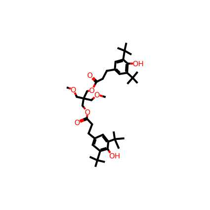 COCC(COC)(COC(=O)CCc1cc(C(C)(C)C)c(O)c(C(C)(C)C)c1)COC(=O)CCc1cc(C(C)(C)C)c(O)c(C(C)(C)C)c1